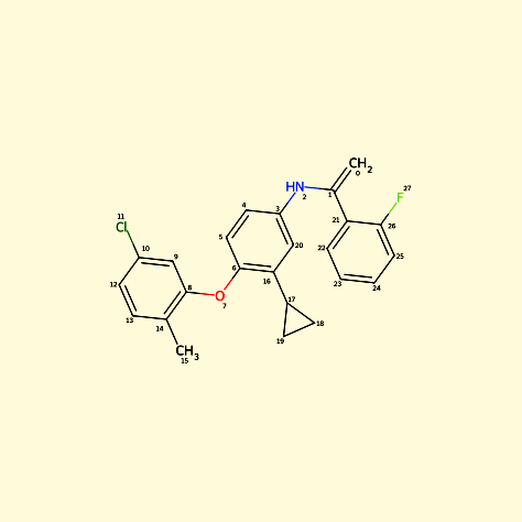 C=C(Nc1ccc(Oc2cc(Cl)ccc2C)c(C2CC2)c1)c1ccccc1F